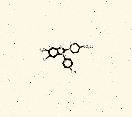 CCOC(=O)C1CCN(c2nc3cc(C)c(Cl)cc3n2-c2ccc(C#N)cc2)CC1